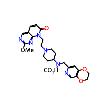 COc1ncc2ccc(=O)n(CCN3CCC(N(Cc4cc5c(cn4)OCCO5)C(=O)O)CC3)c2n1